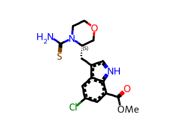 COC(=O)c1cc(Cl)cc2c(C[C@H]3COCCN3C(N)=S)c[nH]c12